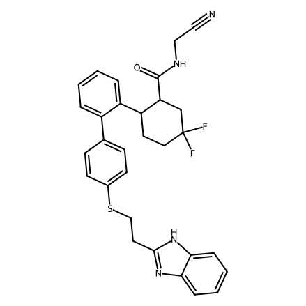 N#CCNC(=O)C1CC(F)(F)CCC1c1ccccc1-c1ccc(SCCc2nc3ccccc3[nH]2)cc1